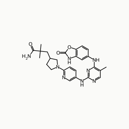 Cc1cnc(Nc2ccc(N3CCC(CC(C)(C)C(N)=O)C3)nc2)nc1Nc1ccc2oc(=O)[nH]c2c1